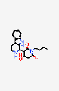 CCCCN1C(=O)CC(O)=C(C2NCCc3c2[nH]c2ccccc32)C1=O